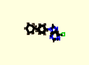 Clc1ncnc2c1ncn2-c1ccc(C2CCCCC2)cc1